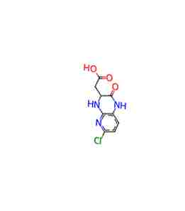 O=C(O)CC1Nc2nc(Cl)ccc2NC1=O